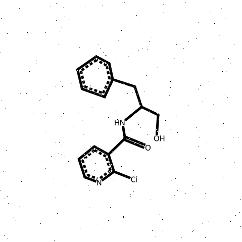 O=C(NC(CO)Cc1ccccc1)c1cccnc1Cl